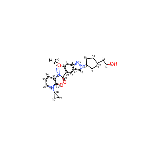 COc1cc2nn(C3CCC(CCO)CC3)cc2cc1C(=O)Nc1cccn(C2CC2)c1=O